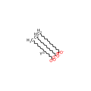 CCCCCCCCCCCCCCC(=O)[O-].CCCCCCCCCCCCCCC(=O)[O-].CCCCCCCCCCCCCCC(=O)[O-].[Y+3]